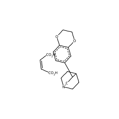 O=C(O)/C=C\C(=O)O.c1cc2c(cc1C1CN3CCC1CC3)OCCO2